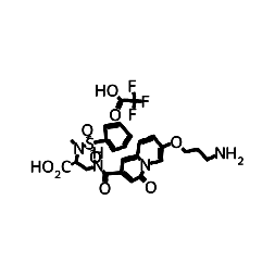 CN([C@@H](CNC(=O)c1cc(=O)n2cc(OCCCN)ccc2c1)C(=O)O)S(=O)(=O)c1ccccc1.O=C(O)C(F)(F)F